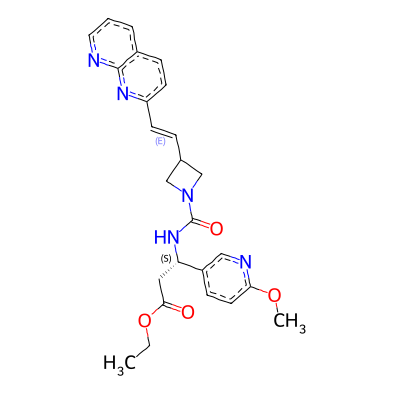 CCOC(=O)C[C@H](NC(=O)N1CC(/C=C/c2ccc3cccnc3n2)C1)c1ccc(OC)nc1